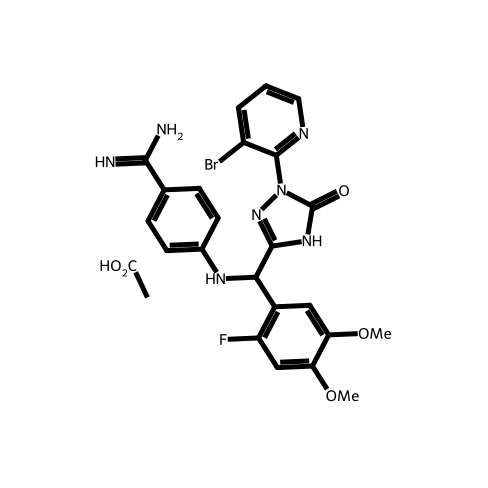 CC(=O)O.COc1cc(F)c(C(Nc2ccc(C(=N)N)cc2)c2nn(-c3ncccc3Br)c(=O)[nH]2)cc1OC